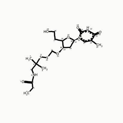 CCC(=O)NCC(C)(C)SSCO[C@@H]1C[C@H](n2cc(C)c(=O)[nH]c2=O)OC1CCO